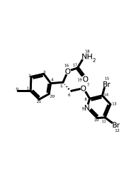 Cc1ccc([C@@H](COc2ncc(Br)cc2Br)OC(N)=O)cc1